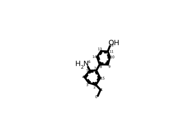 CCc1ccc(N)c(-c2ccc(O)cc2)c1